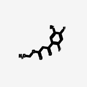 CCOC(=O)CC(=O)c1cc(Br)c(F)cc1F